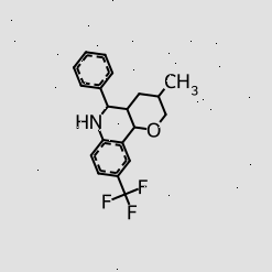 CC1COC2c3cc(C(F)(F)F)ccc3NC(c3ccccc3)C2C1